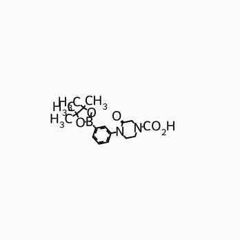 CC1(C)OB(c2cccc(N3CCN(C(=O)O)CC3=O)c2)OC1(C)C